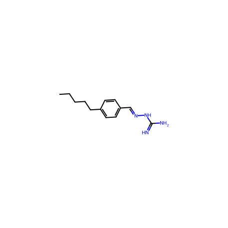 CCCCCc1ccc(C=NNC(=N)N)cc1